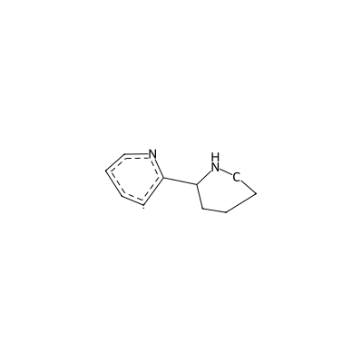 [c]1cccnc1C1CCCCN1